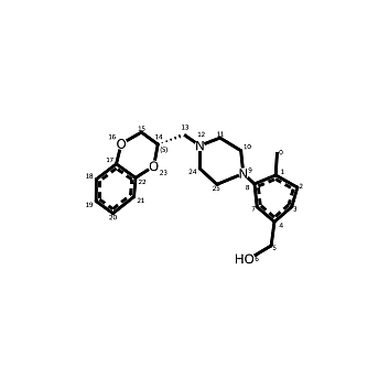 Cc1ccc(CO)cc1N1CCN(C[C@H]2COc3ccccc3O2)CC1